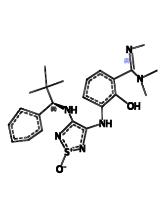 C/N=C(/c1cccc(Nc2n[s+]([O-])nc2N[C@@H](c2ccccc2)C(C)(C)C)c1O)N(C)C